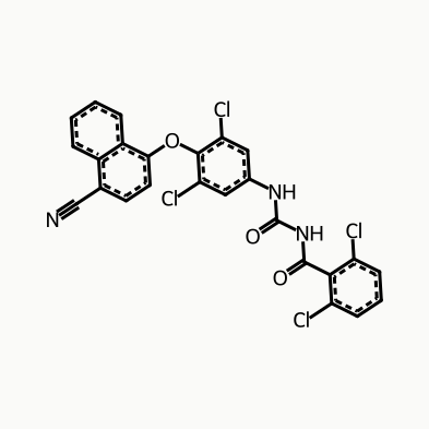 N#Cc1ccc(Oc2c(Cl)cc(NC(=O)NC(=O)c3c(Cl)cccc3Cl)cc2Cl)c2ccccc12